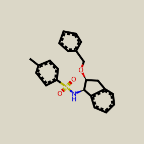 Cc1ccc(S(=O)(=O)N[C@@H]2c3ccccc3C[C@@H]2OCc2ccccc2)cc1